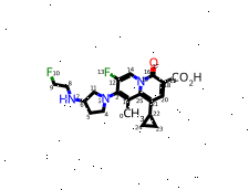 Cc1c(N2CCC(NCCF)C2)c(F)cn2c(=O)c(C(=O)O)cc(C3CC3)c12